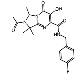 CC(=O)N1C(C)n2c(nc(C(=O)NCc3ccc(F)cc3)c(O)c2=O)C1(C)C